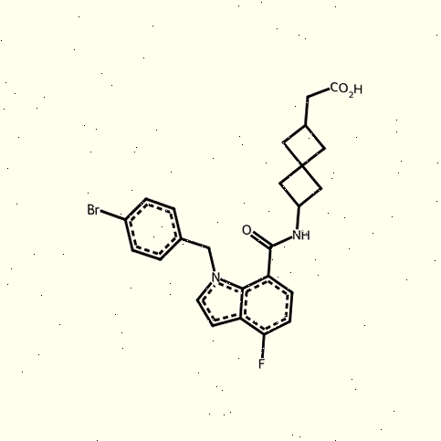 O=C(O)CC1CC2(C1)CC(NC(=O)c1ccc(F)c3ccn(Cc4ccc(Br)cc4)c13)C2